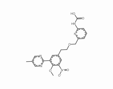 COc1c(-c2ncc(C)cn2)cc(CCOCc2cccc(NC(=O)O)n2)cc1[N+](=O)[O-]